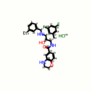 CCc1cccc(CNC[C@@H](O)[C@H](Cc2cc(F)cc(F)c2)NC(=O)c2ccc3c(c2)NCCO3)c1.Cl